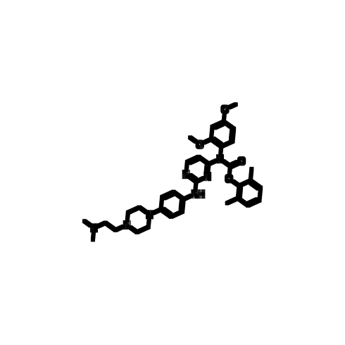 COc1ccc(N(C(=O)Oc2c(C)cccc2C)c2ccnc(Nc3ccc(N4CCN(CCN(C)C)CC4)cc3)n2)c(OC)c1